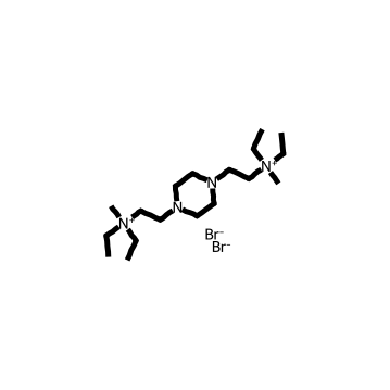 CC[N+](C)(CC)CCN1CCN(CC[N+](C)(CC)CC)CC1.[Br-].[Br-]